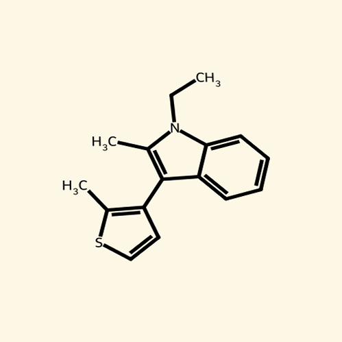 CCn1c(C)c(-c2ccsc2C)c2ccccc21